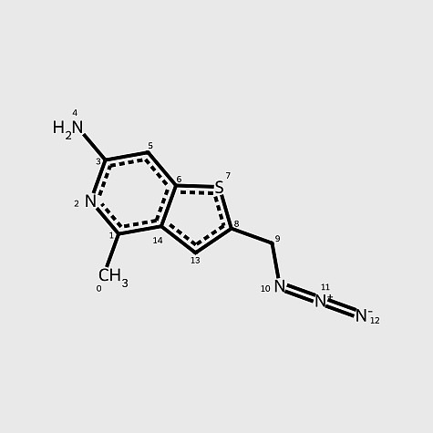 Cc1nc(N)cc2sc(CN=[N+]=[N-])cc12